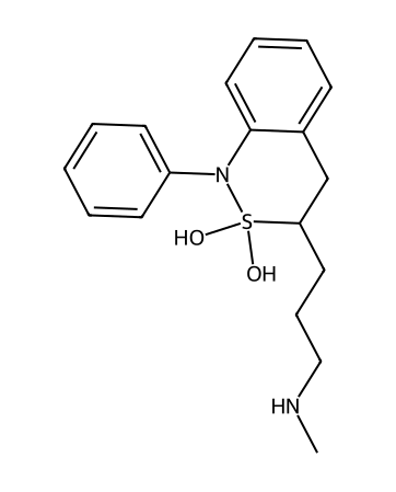 CNCCCC1Cc2ccccc2N(c2ccccc2)S1(O)O